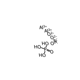 O=P(O)(O)O.[Al+3].[Al+3].[N].[O-2].[O-2].[O-2]